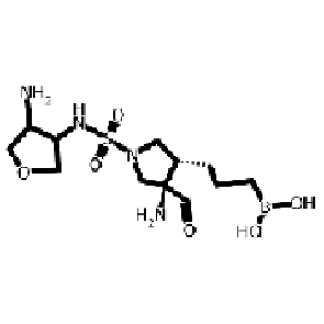 NC1COCC1NS(=O)(=O)N1C[C@H](CCCB(O)O)[C@](N)(C=O)C1